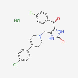 Cl.O=C(c1ccc(F)cc1)c1[nH]c(=O)[nH]c1CN1CC=C(c2ccc(Cl)cc2)CC1